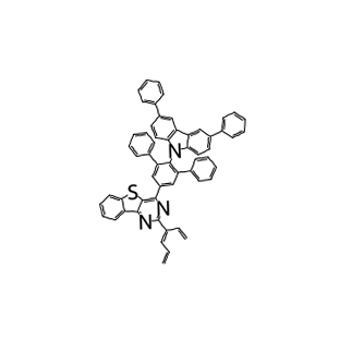 C=C/C=C(\C=C)c1nc(-c2cc(-c3ccccc3)c(-n3c4ccc(-c5ccccc5)cc4c4cc(-c5ccccc5)ccc43)c(-c3ccccc3)c2)c2sc3ccccc3c2n1